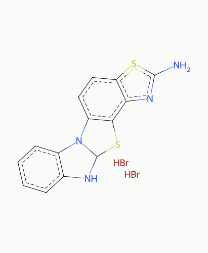 Br.Br.Nc1nc2c3c(ccc2s1)N1c2ccccc2NC1S3